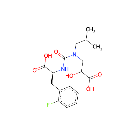 CC(C)CN(CC(O)C(=O)O)C(=O)N[C@@H](Cc1ccccc1F)C(=O)O